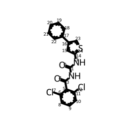 O=C(NC(=O)c1c(Cl)cccc1Cl)Nc1cc(-c2ccccc2)cs1